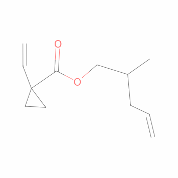 C=CCC(C)COC(=O)C1(C=C)CC1